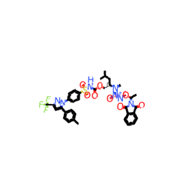 Cc1ccc(-c2cc(C(F)(F)F)nn2-c2ccc(S(=O)(=O)NC(=O)OC[C@H](CC(C)C)N(C)/[N+]([O-])=N\OC(C)N3C(=O)c4ccccc4C3=O)cc2)cc1